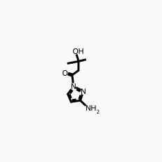 CC(C)(O)CC(=O)n1ccc(N)n1